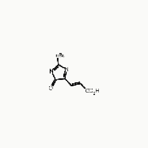 CCCCC1=NC(=O)C(C=CC(=O)O)=N1